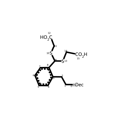 CCCCCCCCCCCCc1ccccc1C(SCC(=O)O)SCC(=O)O